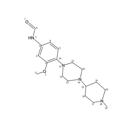 COc1cc(NC=O)ccc1N1CCN(C2CCN(C)CC2)CC1